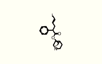 O=C(OC1CN2CCC1CC2)C(CC=CI)c1ccccc1